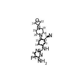 N#Cc1cc(Nc2ncc(F)c(N)n2)ccc1N1CCN(C2COC2)CC1